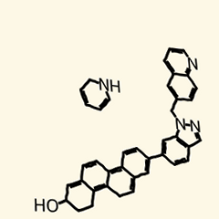 C1=CCNC=C1.OC1C=c2ccc3c(c2CC1)CC=c1cc(-c2ccc4cnn(Cc5ccc6ncccc6c5)c4c2)ccc1=3